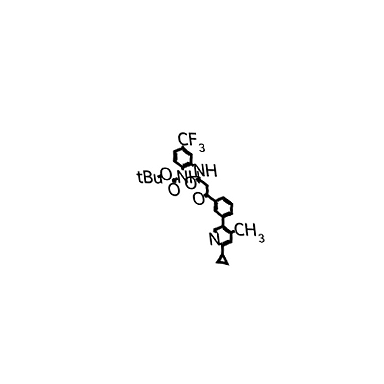 Cc1cc(C2CC2)ncc1-c1cccc(C(=O)CC(=O)Nc2cc(C(F)(F)F)ccc2NC(=O)OC(C)(C)C)c1